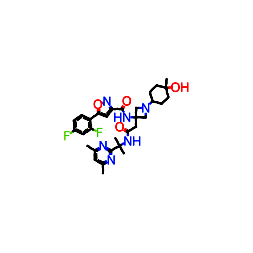 Cc1cc(C)nc(C(C)(C)NC(=O)CC2(NC(=O)c3cc(-c4ccc(F)cc4F)on3)CN(C3CCC(C)(O)CC3)C2)n1